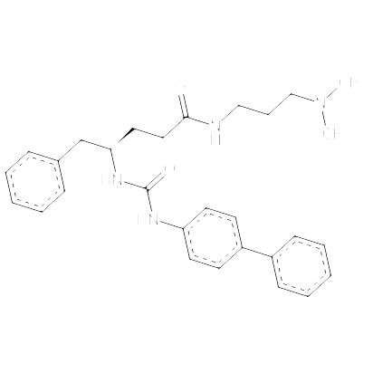 CN(C)CCCNC(=O)CC[C@H](Cc1ccccc1)NC(=O)Nc1ccc(-c2ccccc2)cc1